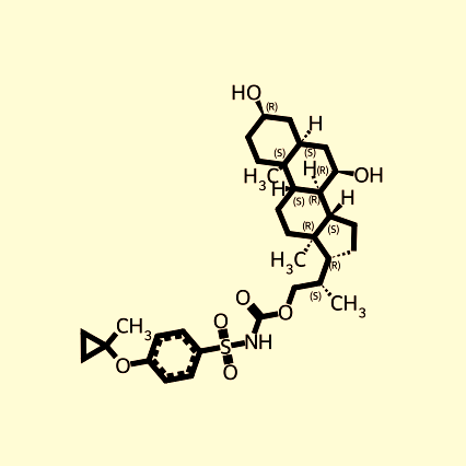 C[C@H](COC(=O)NS(=O)(=O)c1ccc(OC2(C)CC2)cc1)[C@H]1CC[C@H]2[C@@H]3[C@H](O)C[C@@H]4C[C@H](O)CC[C@]4(C)[C@H]3CC[C@]12C